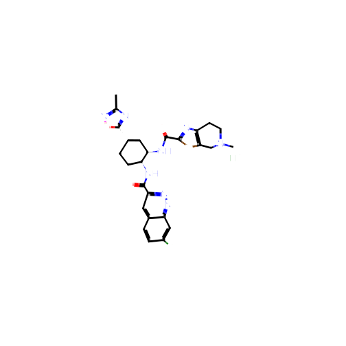 Cc1noc([C@H]2CC[C@H](NC(=O)c3cc4ccc(Cl)cc4nn3)[C@H](NC(=O)c3nc4c(s3)CN(C)CC4)C2)n1.Cl